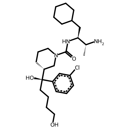 C[C@@H](N)[C@H](CC1CCCCC1)NC(=O)N1CCC[C@@H]([C@@](O)(CCCCO)c2cccc(Cl)c2)C1